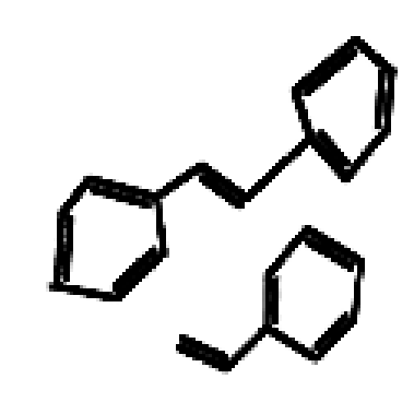 C=Cc1ccccc1.[c]1ccc(C=Cc2ccccc2)cc1